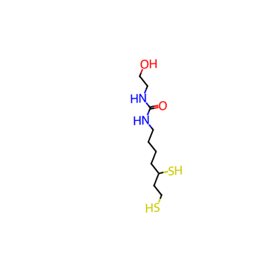 O=C(NCCO)NCCCCC(S)CCS